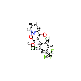 COC(=O)C(C(=O)c1ccccn1)c1c(Cl)cc(C(F)(F)F)cc1Cl